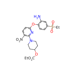 CCOC(=O)OC1CCN(c2nc(Oc3ccc(S(=O)(=O)CC)cc3N)ccc2[N+](=O)[O-])CC1